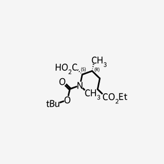 CCOC(=O)CC[C@@H](C)[C@@H](C(=O)O)N(C)C(=O)OC(C)(C)C